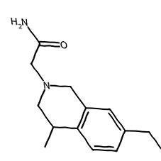 CC(=O)Cc1ccc2c(c1)CN(CC(N)=O)CC2C